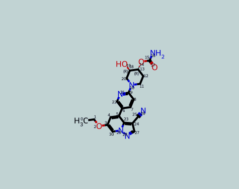 CCOc1cc(-c2ccc(N3CC[C@@H](OC(N)=O)[C@H](O)C3)nc2)c2c(C#N)cnn2c1